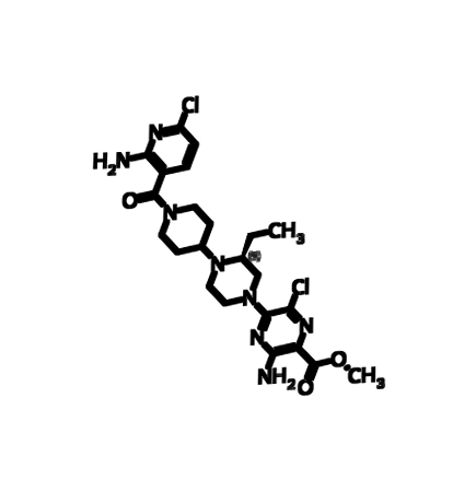 CC[C@H]1CN(c2nc(N)c(C(=O)OC)nc2Cl)CCN1C1CCN(C(=O)c2ccc(Cl)nc2N)CC1